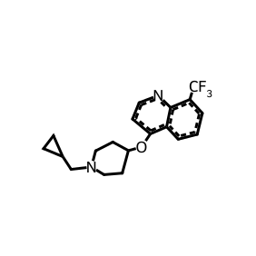 FC(F)(F)c1cccc2c(OC3CCN(CC4CC4)CC3)ccnc12